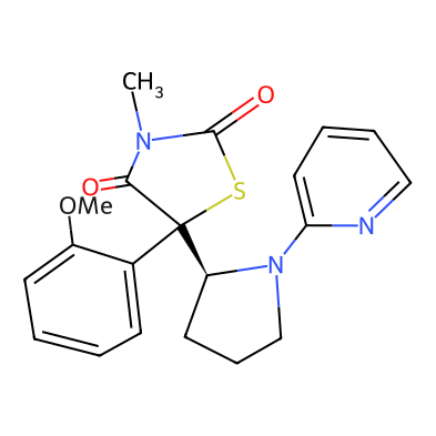 COc1ccccc1C1([C@@H]2CCCN2c2ccccn2)SC(=O)N(C)C1=O